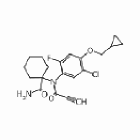 C#CC(=O)N(c1cc(Cl)c(OCC2CC2)cc1F)C1(C(N)=O)CCCCC1